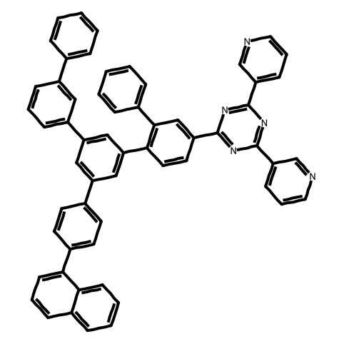 c1ccc(-c2cccc(-c3cc(-c4ccc(-c5cccc6ccccc56)cc4)cc(-c4ccc(-c5nc(-c6cccnc6)nc(-c6cccnc6)n5)cc4-c4ccccc4)c3)c2)cc1